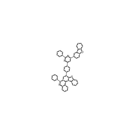 c1ccc(-c2nc(-c3ccc(-c4cc5c(-c6ccccc6)nc6ccccc6c5c5c4sc4ccccc45)cc3)cc(-c3ccc4oc5ccccc5c4c3)n2)cc1